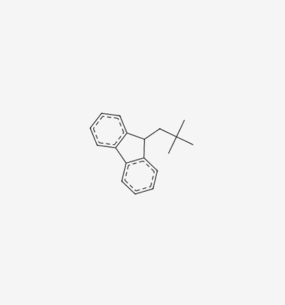 CC(C)(C)CC1c2ccccc2-c2ccccc21